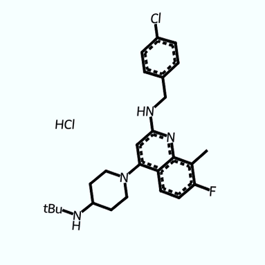 Cc1c(F)ccc2c(N3CCC(NC(C)(C)C)CC3)cc(NCc3ccc(Cl)cc3)nc12.Cl